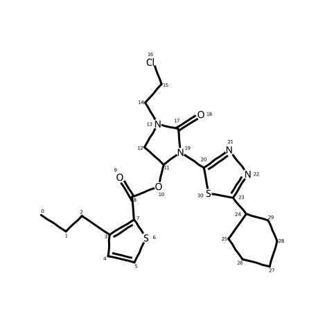 CCCc1ccsc1C(=O)OC1CN(CCCl)C(=O)N1c1nnc(C2CCCCC2)s1